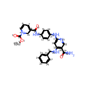 CC(C)(C)OC(=O)N1C=CC=C(C(=O)Nc2ccc(Nc3cc(NCc4ccccc4)c(C(N)=O)cn3)cc2)C1